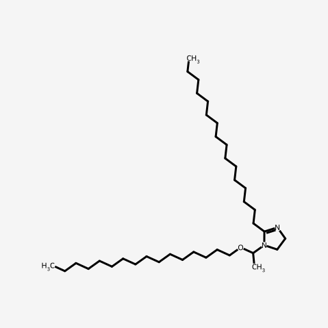 CCCCCCCCCCCCCCCCOC(C)N1CCN=C1CCCCCCCCCCCCCCCC